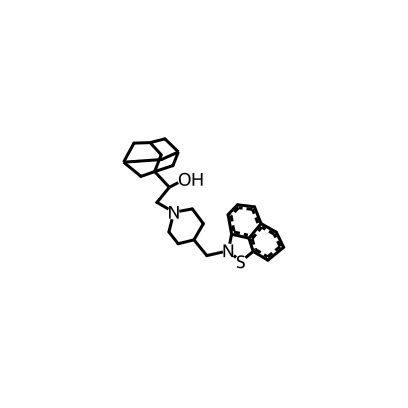 OC(CN1CCC(CN2Sc3cccc4cccc2c34)CC1)C12CC3CC(CC(C3)C1)C2